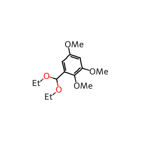 CCOC(OCC)c1cc(OC)cc(OC)c1OC